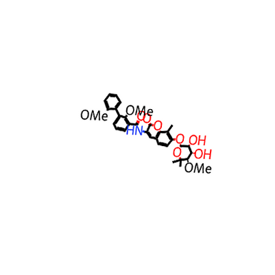 COc1ccccc1-c1cccc(C(=O)Nc2cc3ccc(O[C@@H]4OC(C)(C)[C@H](OC)[C@@H](O)[C@H]4O)c(C)c3oc2=O)c1OC